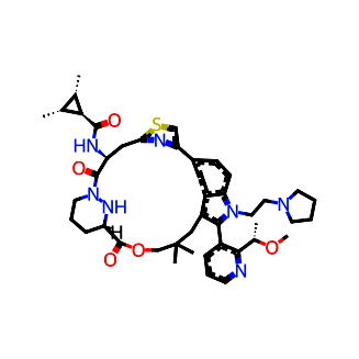 CO[C@@H](C)c1ncccc1-c1c2c3cc(ccc3n1CCN1CCCC1)-c1csc(n1)C[C@H](NC(=O)[C@H]1[C@H](C)[C@@H]1C)C(=O)N1CCC[C@H](N1)C(=O)OCC(C)(C)C2